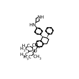 CC(C)[Si](Oc1ccc2c(c1)CC[C@H](c1ccccc1)[C@@H]2c1ccc(NC2CNC2)cc1)(C(C)C)C(C)C